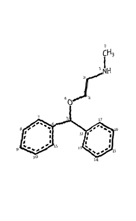 CNCCOC(c1ccccc1)c1ccccc1